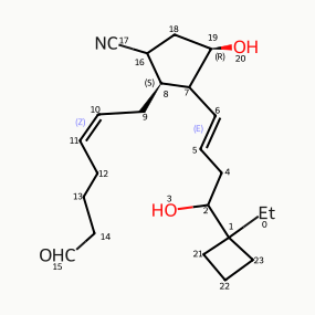 CCC1(C(O)C/C=C/C2[C@@H](C/C=C\CCCC=O)C(C#N)C[C@H]2O)CCC1